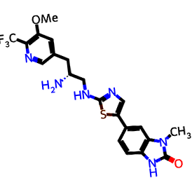 COc1cc(C[C@@H](N)CNc2ncc(-c3ccc4[nH]c(=O)n(C)c4c3)s2)cnc1C(F)(F)F